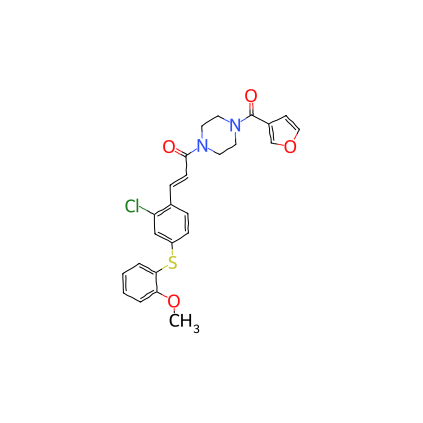 COc1ccccc1Sc1ccc(C=CC(=O)N2CCN(C(=O)c3ccoc3)CC2)c(Cl)c1